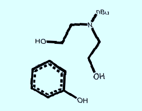 CCCCN(CCO)CCO.Oc1ccccc1